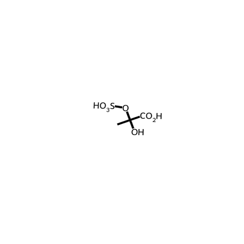 CC(O)(OS(=O)(=O)O)C(=O)O